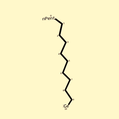 CCCCCCCCCCCCC[CH2][Ge]